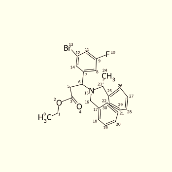 CCOC(=O)CC(c1cc(F)cc(Br)c1)N(Cc1ccccc1)[C@H](C)c1ccccc1